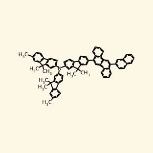 Cc1ccc2c(c1)C(C)(C)c1cc(N(c3ccc4c(c3)C(C)(C)c3cc(C)ccc3-4)c3ccc4c(c3)C(C)(C)c3cc(-c5cc6c7ccccc7c(-c7ccc8ccccc8c7)cc6c6ccccc56)ccc3-4)ccc1-2